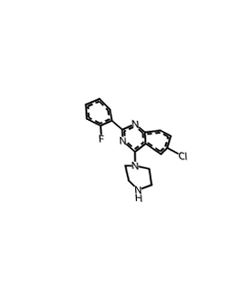 Fc1ccccc1-c1nc(N2CCNCC2)c2cc(Cl)ccc2n1